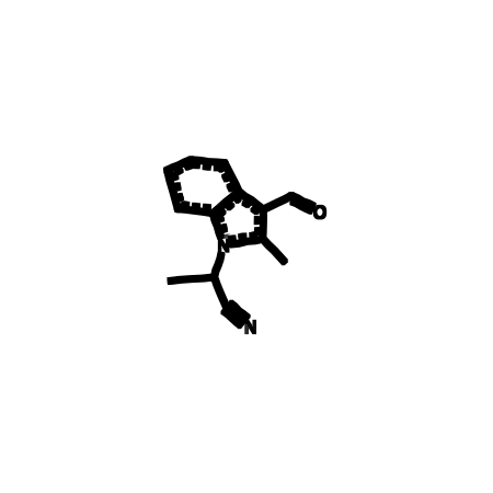 Cc1c(C=O)c2ccccc2n1C(C)C#N